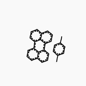 Cc1ccc(C)cc1.c1cc2cccc3c4cccc5cccc(c(c1)c23)c54